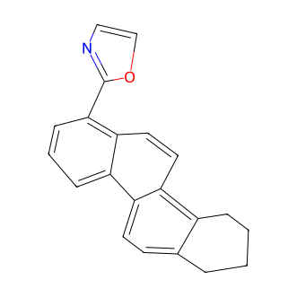 c1cc(-c2ncco2)c2ccc3c4c(ccc3c2c1)CCCC4